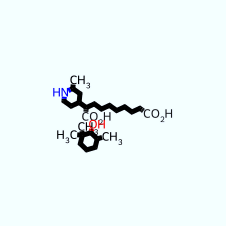 CC1CC(C(CCCCCCCC(=O)O)C(=O)O)CCN1.CC1CCCC(C)(C)C1O